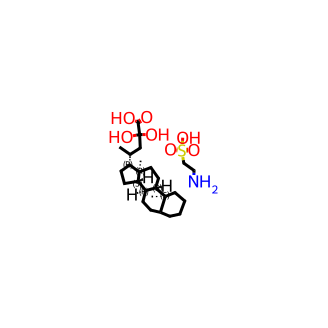 CC(CC(O)(O)C(=O)O)[C@H]1CC[C@H]2[C@@H]3CCC4CCCC[C@]4(C)[C@H]3CC[C@]12C.NCCS(=O)(=O)O